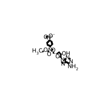 CCOC(=O)N(OC[C@@H]1C[C@@H](O)[C@H](n2cnc3c(N)ncnc32)O1)c1ccc([N+](=O)[O-])cc1